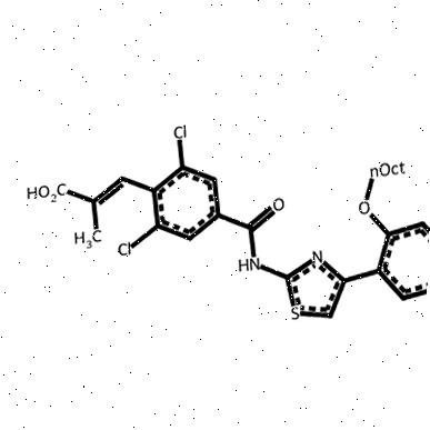 CCCCCCCCOc1ccccc1-c1csc(NC(=O)c2cc(Cl)c(C=C(C)C(=O)O)c(Cl)c2)n1